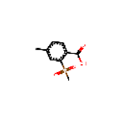 Cc1ccc(C(=O)O)c(S(C)(=O)=O)c1